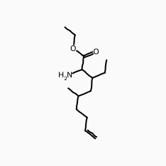 C=CCCC(C)CC(CC)C(N)C(=O)OCC